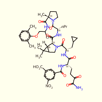 CCC[C@H](NC(=O)[C@@H]1[C@@H]2C(CN1C(=O)[C@H](CC1CC1)NC(=O)[C@H](CCC(=O)C(N)=O)NC(=O)c1cc(C(=O)O)cc([N+](=O)[O-])c1)C2(C)C)C(=O)N1CCC[C@@]1(C)C(=O)NC(C)COc1c(C)cccc1C